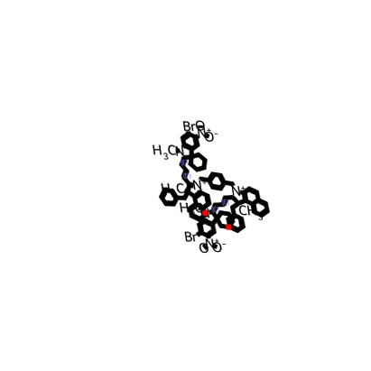 CN1/C(=C/C=C/C2=[N+](Cc3ccc(C[N+]4=C(/C=C/C=C5/N(C)c6cc(Br)c([N+](=O)[O-])cc6C56CCCCC6)C(C)(Cc5ccccc5)c5c4ccc4ccccc54)cc3)c3ccc4ccccc4c3C2(C)Cc2ccccc2)C2(CCCCC2)c2cc([N+](=O)[O-])c(Br)cc21